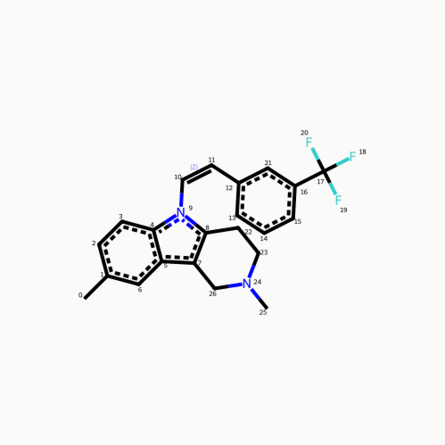 Cc1ccc2c(c1)c1c(n2/C=C\c2cccc(C(F)(F)F)c2)CCN(C)C1